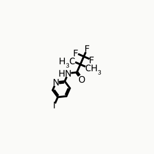 CC(C)(C(=O)Nc1ccc(I)cn1)C(F)(F)F